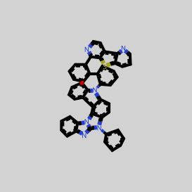 c1ccc(-n2c3ccc4c(c5ccccc5n4-c4ccccc4-c4ccccc4-c4nccc5c4sc4cccnc45)c3n3c4ccccc4nc23)cc1